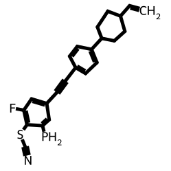 C=CC1CCC(c2ccc(C#Cc3cc(F)c(SC#N)c(P)c3)cc2)CC1